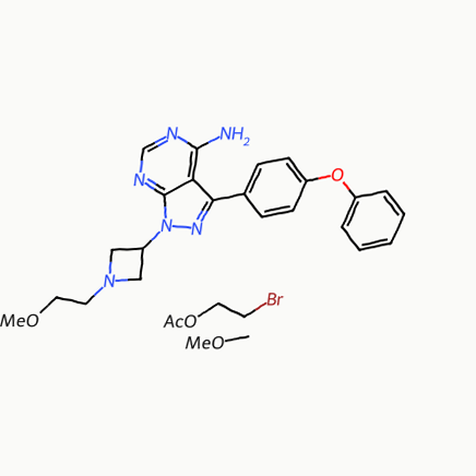 CC(=O)OCCBr.COC.COCCN1CC(n2nc(-c3ccc(Oc4ccccc4)cc3)c3c(N)ncnc32)C1